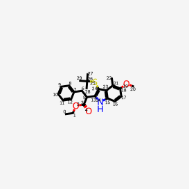 CCOC(=O)C(Cc1ccccc1)c1[nH]c2ccc(OC)c(C)c2c1SC(C)(C)C